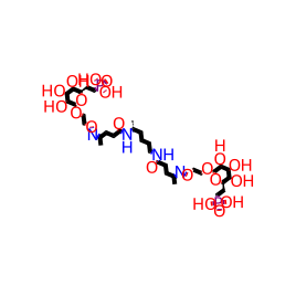 C/C(CCC(=O)N[C@H](C)CCCCNC(=O)CC/C(C)=N/OCCO[C@H]1O[C@H](CCP(=O)(O)O)[C@@H](O)[C@H](O)[C@@H]1O)=N/OCCO[C@H]1O[C@H](CCP(=O)(O)O)[C@@H](O)[C@H](O)[C@@H]1O